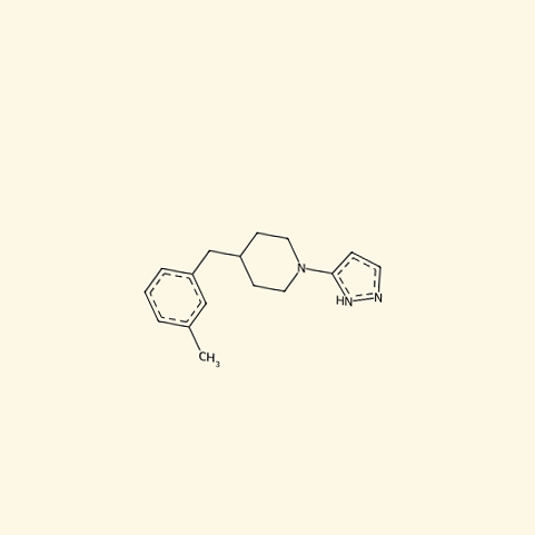 Cc1cccc(CC2CCN(c3ccn[nH]3)CC2)c1